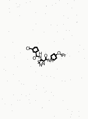 CC(C)Oc1ccc(NC(=O)c2nnsc2NC(=O)c2cccc(Cl)c2)cc1